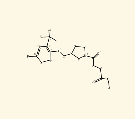 COC(=O)CCC(=O)N1CCC(COC2=C(C(C)(C)C)C=C(F)CC2)C1